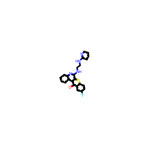 O=c1c2cc(F)ccc2sc2c(NCCNc3ccccn3)nc3ccccc3c12